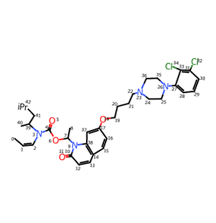 C/C=C\N(C(=O)OC(C)n1c(=O)ccc2ccc(OCCCCN3CCN(c4cccc(Cl)c4Cl)CC3)cc21)C(C)CC(C)C